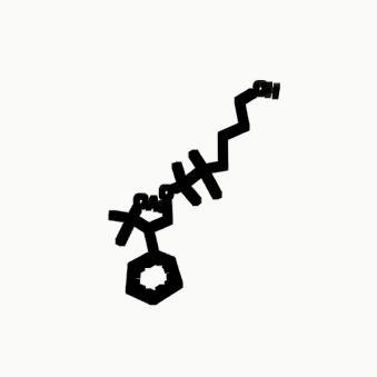 CC(=O)OC(C)(C)C(COC(C)(C)C(C)(C)CCCCO)c1ccccc1